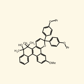 COc1ccc2c3c(c4c(c2c1)OC(c1ccc(OC(C)C)cc1)(c1ccc(OC(C)C)cc1)C=C4)C(C)(C)C(C)(O)c1ccccc1-3